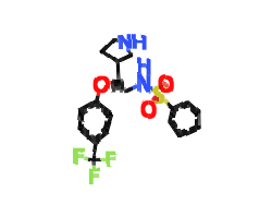 O=S(=O)(NC[C@H](Oc1ccc(C(F)(F)F)cc1)C1CCNC1)c1ccccc1